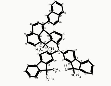 CC1(C)c2ccccc2-c2ccc(N(c3ccc4c(c3)C(C)(C)c3ccccc3-4)c3cccc4c3C(C)(C)c3cccc5ccc(-c6ccc7ccccc7c6)c-4c35)cc21